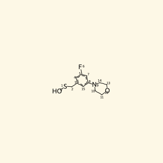 OSCc1cc(F)cc(N2CCOCC2)c1